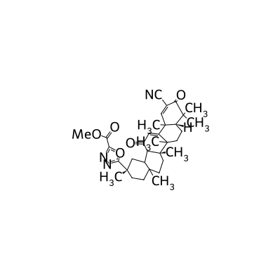 COC(=O)c1nnc([C@@]2(C)CCC3(C)CC[C@]4(C)C(C(=O)C=C5C6(C)C=C(C#N)C(=O)C(C)(C)[C@@H]6CCC54C)C3C2)o1